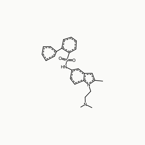 Cc1cc2cc(NS(=O)(=O)c3ccccc3-c3ccccc3)ccc2n1CCN(C)C